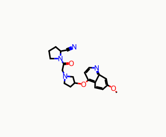 COc1ccc2c(OC3CCN(CC(=O)N4CCCC4C#N)C3)ccnc2c1